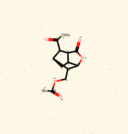 COC(=O)C1C2CC3C(OC(=O)C31)C2COC(=O)C(C)(C)C